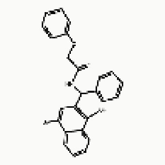 O=C(COc1ccccc1)NC(c1ccccc1)c1cc(Br)c2cccnc2c1O